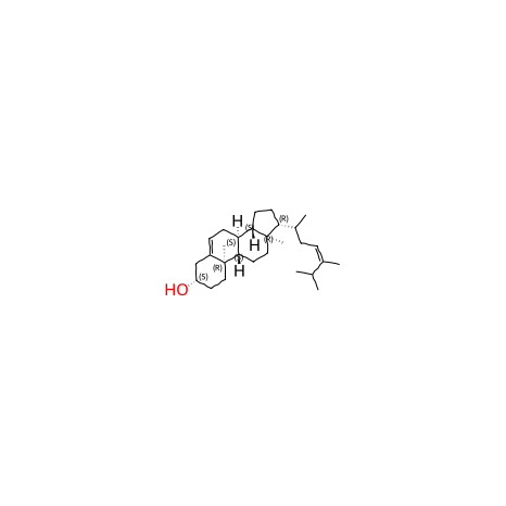 CC(=CCC(C)[C@H]1CC[C@H]2[C@@H]3CC=C4C[C@@H](O)CC[C@]4(C)[C@H]3CC[C@]12C)C(C)C